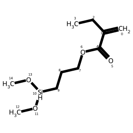 C=C(CC)C(=O)OCCC[SiH](OC)OC